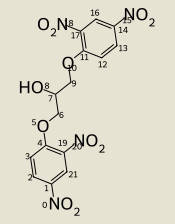 O=[N+]([O-])c1ccc(OCC(O)COc2ccc([N+](=O)[O-])cc2[N+](=O)[O-])c([N+](=O)[O-])c1